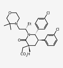 CC[C@@H](CN1CCOCC1(C)C)N1C(=O)[C@@](C)(CC(=O)O)C[C@H](c2cccc(Cl)c2)[C@H]1c1ccc(Cl)cc1